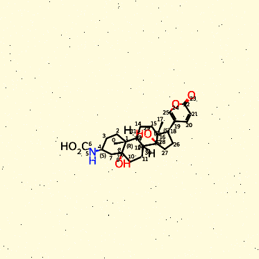 C[C@]12CC[C@H](NC(=O)O)C[C@@]1(O)CC[C@@H]1[C@@H]2CC[C@]2(C)[C@@H](c3ccc(=O)oc3)CC[C@]12O